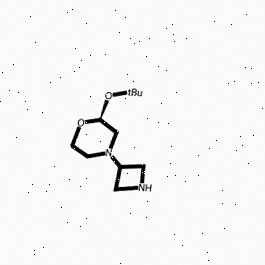 CC(C)(C)O[C@H]1CN(C2CNC2)CCO1